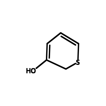 OC1=CC=CSC1